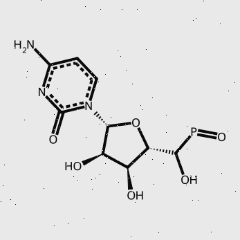 Nc1ccn([C@@H]2O[C@H](C(O)P=O)[C@@H](O)[C@H]2O)c(=O)n1